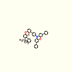 CC1(C)c2ccccc2-c2c1ccc1c2Sc2c(cccc2-c2ccc(N3c4ccc(-c5ccccc5)cc4Oc4cc(-c5ccccc5)ccc43)cc2)O1